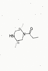 CCC(=O)N1C[C@H](C)NC[C@@H]1C